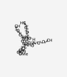 C#CCOCCOCCNC(=O)CCC(CCC(=O)NCCOCCOCC#C)(CCC(=O)NCCOCCOCC#C)NC(=O)c1ccc(OP(C)(=O)OC)cc1